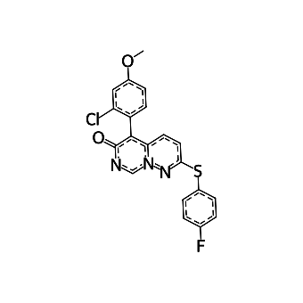 COc1ccc(-c2c(=O)ncn3nc(Sc4ccc(F)cc4)ccc23)c(Cl)c1